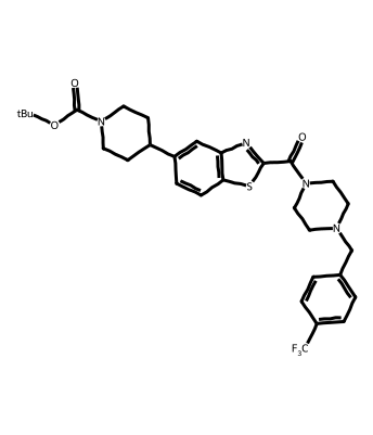 CC(C)(C)OC(=O)N1CCC(c2ccc3sc(C(=O)N4CCN(Cc5ccc(C(F)(F)F)cc5)CC4)nc3c2)CC1